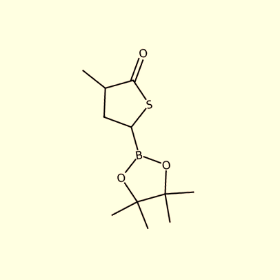 CC1CC(B2OC(C)(C)C(C)(C)O2)SC1=O